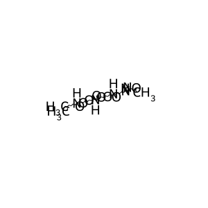 CCC(C)CCCCNC(=O)COCCOCCNC(=O)COCCOCCNC(=O)CCCCn1cc(CCC(C)=O)nn1